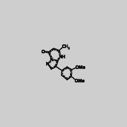 COc1ccc(-c2cnn3c(=O)cc(C)[nH]c23)cc1OC